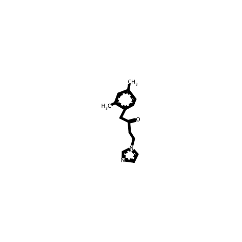 Cc1ccc(CC(=O)CCn2ccnc2)c(C)c1